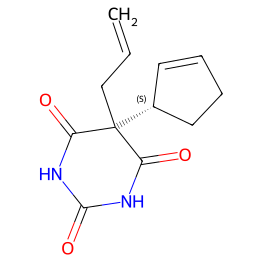 C=CCC1([C@@H]2C=CCC2)C(=O)NC(=O)NC1=O